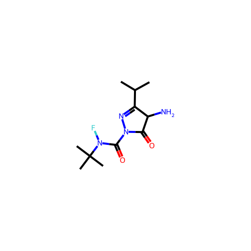 CC(C)C1=NN(C(=O)N(F)C(C)(C)C)C(=O)C1N